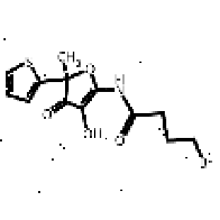 CC1(c2cccs2)OC(NC(=O)CCCBr)=C(O)C1=O